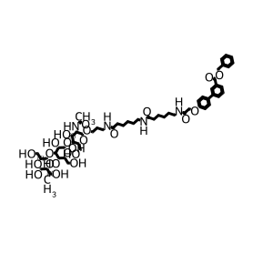 CC(=O)NC1C(OCCCNC(=O)CCCCCNC(=O)CCCCCNC(=O)COc2ccc(-c3cccc(C(=O)OCc4ccccc4)c3)cc2)OC(CO)C(O)(OC2OC(CO)C(O)C(OC(OC(CO)[C@@H](C)O)[C@@H](O)CO)C2O)[C@H]1O